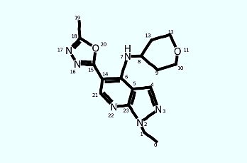 CCn1ncc2c(NC3CCOCC3)c(-c3nnc(C)o3)cnc21